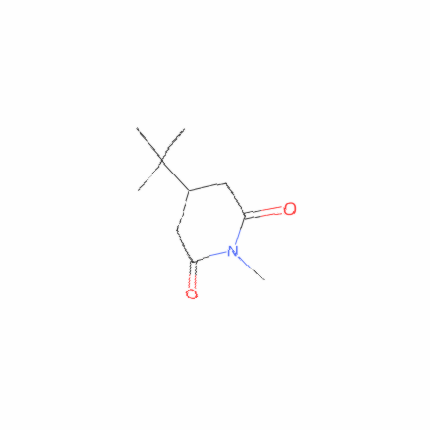 CN1C(=O)CC(C(C)(C)C)CC1=O